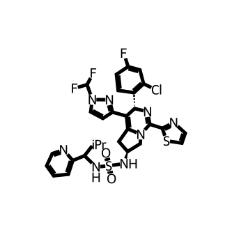 CC(C)C(NS(=O)(=O)N[C@H]1CC2=C(c3ccn(C(F)F)n3)[C@H](c3ccc(F)cc3Cl)N=C(c3nccs3)N2C1)c1ccccn1